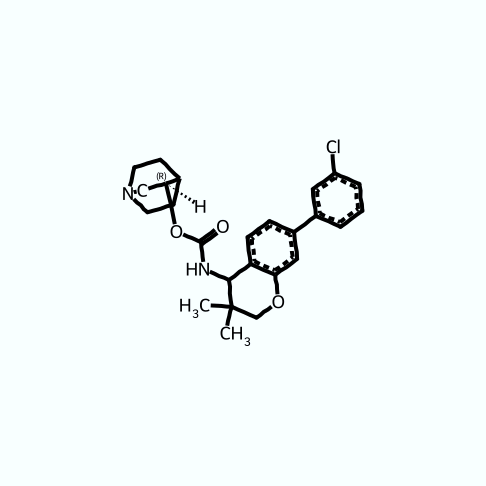 CC1(C)COc2cc(-c3cccc(Cl)c3)ccc2C1NC(=O)O[C@H]1CN2CCC1CC2